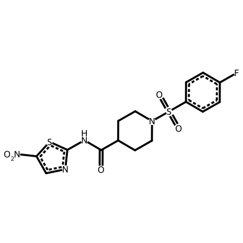 O=C(Nc1ncc([N+](=O)[O-])s1)C1CCN(S(=O)(=O)c2ccc(F)cc2)CC1